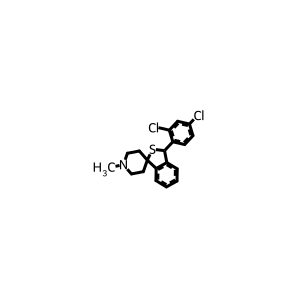 CN1CCC2(CC1)SC(c1ccc(Cl)cc1Cl)c1ccccc12